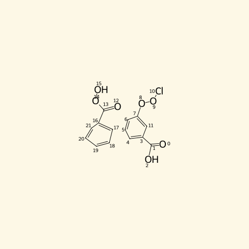 O=C(O)c1cccc(OOCl)c1.O=C(OO)c1ccccc1